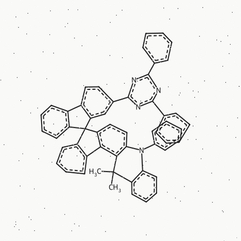 CC1(C)c2ccccc2N(c2ccccc2)c2ccc3c(c21)-c1ccccc1C31c2ccccc2-c2ccc(-c3nc(-c4ccccc4)nc(-c4ccccc4)n3)cc21